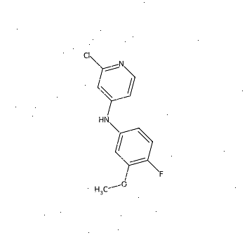 COc1cc(Nc2ccnc(Cl)c2)ccc1F